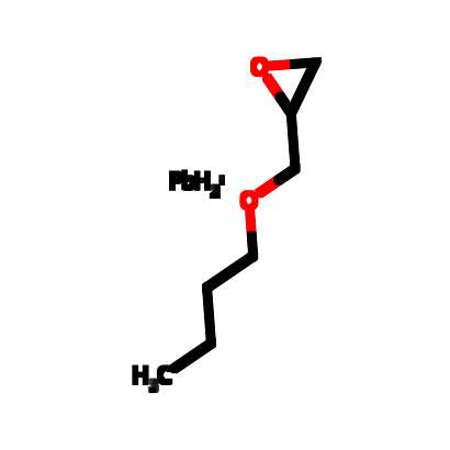 CCCCOCC1CO1.[PbH2]